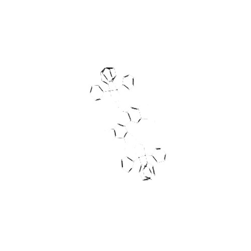 COc1cc(C)cc(-c2cc(C)c(C)cc2OP2OC(c3ccccc3)(c3ccccc3)C(c3ccccc3)(c3ccccc3)O2)c1OP1OC(c2ccccc2)(c2ccccc2)C(c2ccccc2)(c2ccccc2)O1